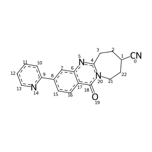 N#CC1CCc2nc3cc(-c4ccccn4)ccc3c(=O)n2CC1